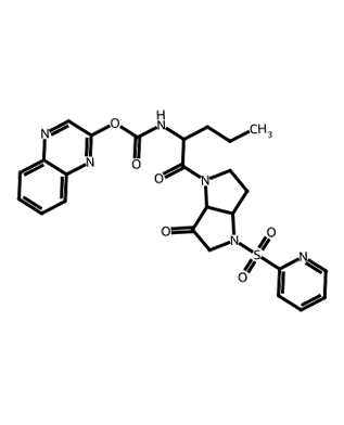 CCCC(NC(=O)Oc1cnc2ccccc2n1)C(=O)N1CCC2C1C(=O)CN2S(=O)(=O)c1ccccn1